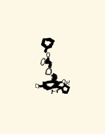 O=C(COCc1cc(Cl)cc2c1O[C@@H]1CC=C[C@H]21)OCc1ccccc1